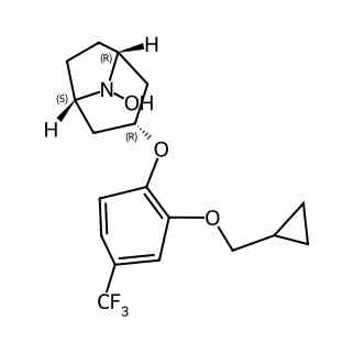 ON1[C@@H]2CC[C@H]1C[C@@H](Oc1ccc(C(F)(F)F)cc1OCC1CC1)C2